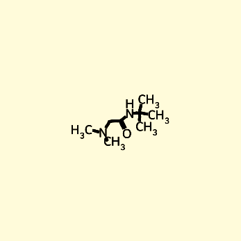 CN(C)CC(=O)NC(C)(C)C